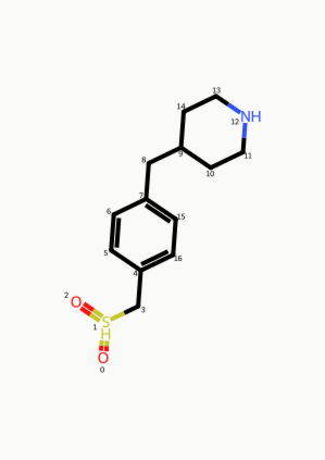 O=[SH](=O)Cc1ccc(CC2CCNCC2)cc1